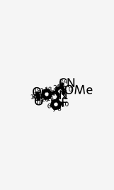 COc1nc(-c2ccccc2F)c(-c2ccc(S(C)(=O)=O)cc2)cc1C#N